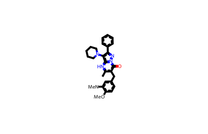 CNc1cc(Cc2c(C)[nH]c3c(N4CCCCC4)c(-c4ccccc4)nn3c2=O)ccc1OC